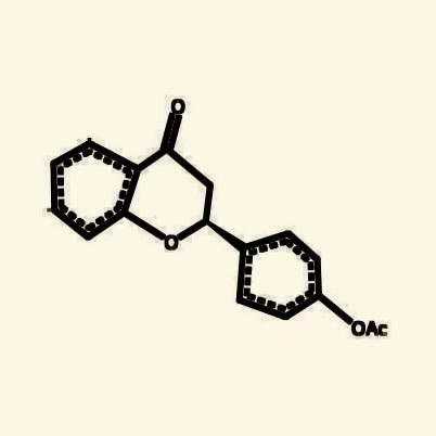 CC(=O)Oc1ccc([C@@H]2CC(=O)c3[c]c[c]cc3O2)cc1